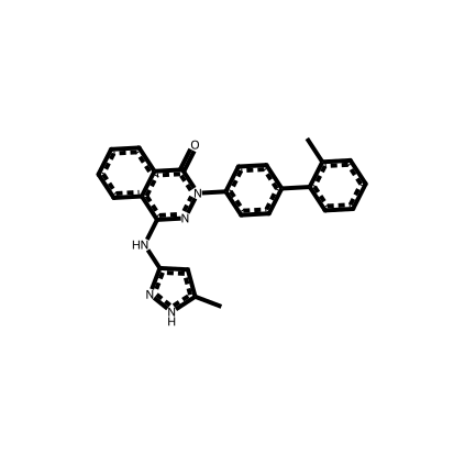 Cc1cc(Nc2nn(-c3ccc(-c4ccccc4C)cc3)c(=O)c3ccccc23)n[nH]1